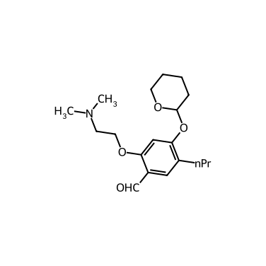 CCCc1cc(C=O)c(OCCN(C)C)cc1OC1CCCCO1